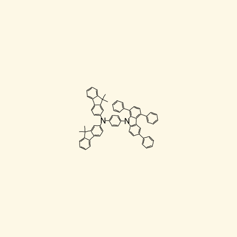 CC1(C)c2ccccc2-c2ccc(N(c3ccc(-n4c5ccc(-c6ccccc6)cc5c5c(-c6ccccc6)ccc(-c6ccccc6)c54)cc3)c3ccc4c(c3)C(C)(C)c3ccccc3-4)cc21